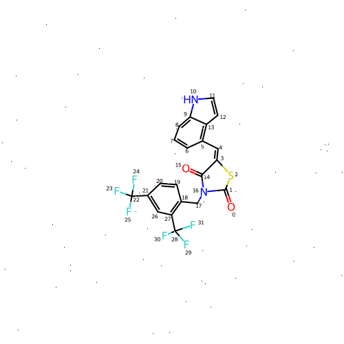 O=C1SC(=Cc2cccc3[nH]ccc23)C(=O)N1Cc1ccc(C(F)(F)F)cc1C(F)(F)F